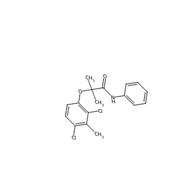 Cc1c(Cl)ccc(OC(C)(C)C(=O)Nc2ccccc2)c1Cl